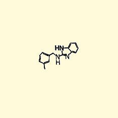 Cc1cccc(CNc2nc3ccccc3[nH]2)c1